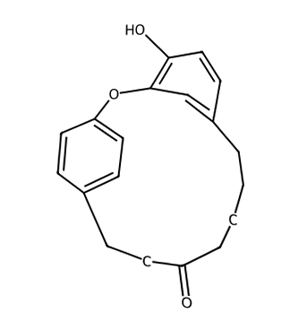 O=C1CCCCc2ccc(O)c(c2)Oc2ccc(cc2)CC1